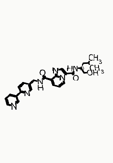 CC(C)C[C@@H](CO)NC(=O)c1cnc2c(C(=O)NCc3ccc(-c4cccnc4)nc3)cccn12